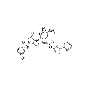 CC(C)CC(NC(=O)Oc1ccc(-c2ccccn2)s1)C(=O)N1CCC2C1C(=O)CN2S(=O)(=O)c1ccc[n+]([O-])c1